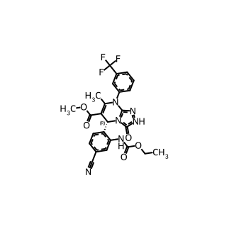 CCOC(=O)Nc1cc(C#N)ccc1[C@@H]1C(C(=O)OC)=C(C)N(c2cccc(C(F)(F)F)c2)c2n[nH]c(=O)n21